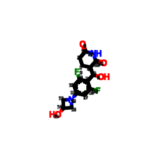 O=C1CCC(C(O)c2c(F)cc(N3CC(O)C3)cc2F)C(=O)N1